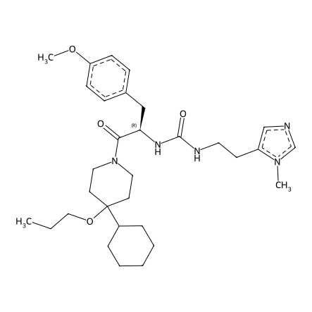 CCCOC1(C2CCCCC2)CCN(C(=O)[C@@H](Cc2ccc(OC)cc2)NC(=O)NCCc2cncn2C)CC1